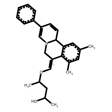 Cc1cc(C)c2c(c1)C1C=CC(c3ccccc3)=CN1C/C2=C\OC(C)CC(C)O